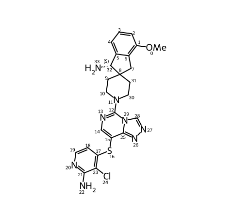 COc1cccc2c1CC1(CCN(c3ncc(Sc4ccnc(N)c4Cl)c4nncn34)CC1)[C@@H]2N